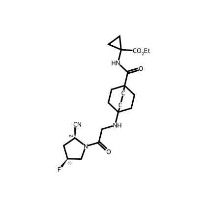 CCOC(=O)C1(NC(=O)C23CCC(NCC(=O)N4C[C@@H](F)C[C@H]4C#N)(CC2)CC3)CC1